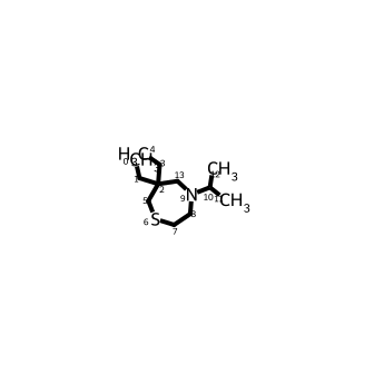 CCC1(CC)CSCCN(C(C)C)C1